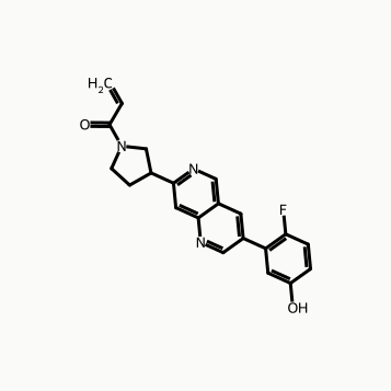 C=CC(=O)N1CCC(c2cc3ncc(-c4cc(O)ccc4F)cc3cn2)C1